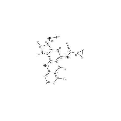 COc1c(F)cccc1Nc1cc(NC(=O)C2CC2)nc2c1nc(C)n2PI